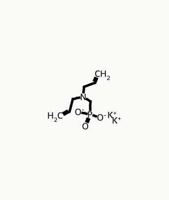 C=CCN(CC=C)CP(=O)([O-])[O-].[K+].[K+]